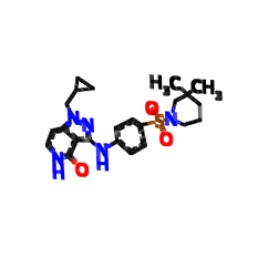 CC1(C)CCCN(S(=O)(=O)c2ccc(Nc3nn(CC4CC4)c4cc[nH]c(=O)c34)cc2)C1